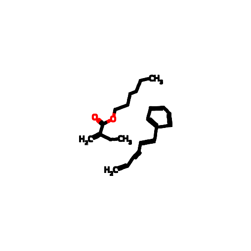 C=C(CC)C(=O)OCCCCCC.C=CC=CC=Cc1ccccc1